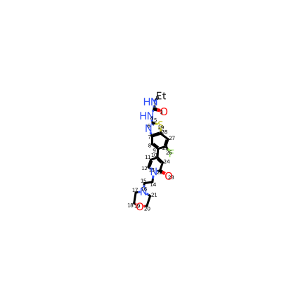 CCNC(=O)Nc1nc2cc(-c3ccn(CCN4CCOCC4)c(=O)c3)c(F)cc2s1